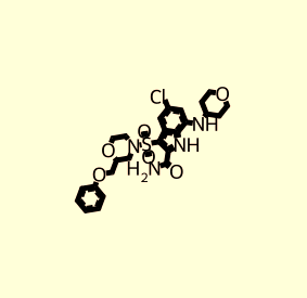 NC(=O)c1[nH]c2c(NC3CCOCC3)cc(Cl)cc2c1S(=O)(=O)N1CCOC(COc2ccccc2)C1